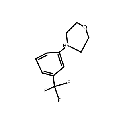 FC(F)(F)c1cccc([SH]2CCOCC2)c1